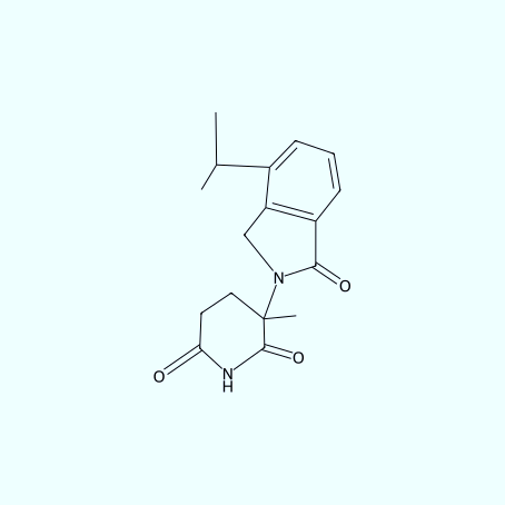 CC(C)c1cccc2c1CN(C1(C)CCC(=O)NC1=O)C2=O